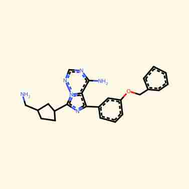 NCC1CCC(c2nc(-c3cccc(OCc4ccccc4)c3)c3c(N)ncnn23)C1